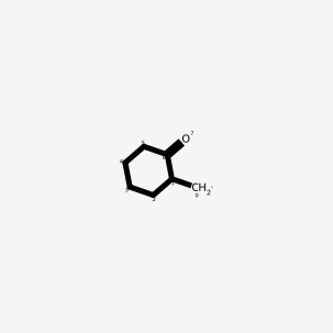 [CH2]C1CCCCC1=O